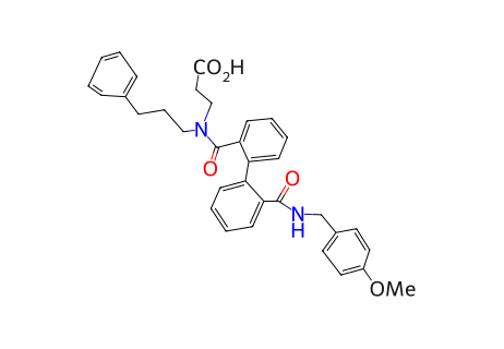 COc1ccc(CNC(=O)c2ccccc2-c2ccccc2C(=O)N(CCCc2ccccc2)CCC(=O)O)cc1